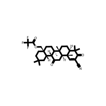 CC1(C)CC[C@]2(COC(=O)C(F)(F)F)CC[C@]3(C)[C@H](C(=O)C[C@@H]4[C@@]5(C)C=C(C#N)C(=O)C(C)(C)[C@@H]5CC[C@]43C)[C@@H]2C1